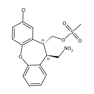 CS(=O)(=O)OC[C@H]1c2cc(Cl)ccc2Oc2ccccc2[C@@H]1C[N+](=O)[O-]